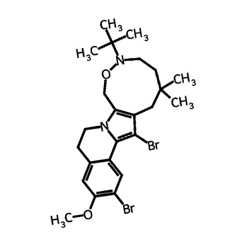 COc1cc2c(cc1Br)-c1c(Br)c3c(n1CC2)CON(C(C)(C)C)CCC(C)(C)C3